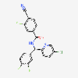 N#Cc1ccc(C(=O)NC(c2ccc(F)c(F)c2)c2ccc(Cl)cn2)cc1F